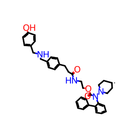 O=C(CCc1ccc(CNCc2ccc(O)cc2)cc1)NCCOC(=O)N(c1ccccc1-c1ccccc1)N1CC[CH]CC1